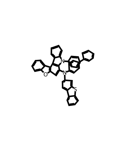 c1ccc(-c2ccc(N(c3ccc4c(c3)sc3ccccc34)c3cc4oc5ccccc5c4c4c5ccccc5n(-c5ccccc5)c34)cc2)cc1